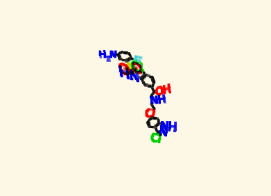 Nc1ccc(F)c(S(=O)(=O)Nc2cc([C@@H](O)CNCCOc3ccc4c(Cl)n[nH]c4c3)ccc2Cl)c1